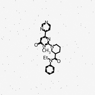 CCN(C(=O)C1CCCN(c2nc(-c3ccncn3)cc(=O)n2C)C1)c1ccccc1